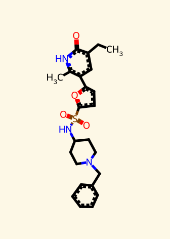 CCc1cc(-c2ccc(S(=O)(=O)NC3CCN(Cc4ccccc4)CC3)o2)c(C)[nH]c1=O